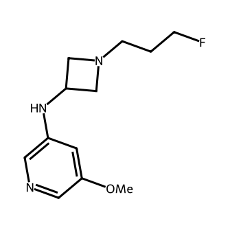 COc1cncc(NC2CN(CCCF)C2)c1